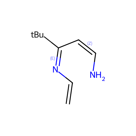 C=C/N=C(\C=C/N)C(C)(C)C